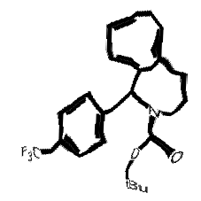 CC(C)(C)OC(=O)N1CCc2ccccc2C1c1ccc(C(F)(F)F)cc1